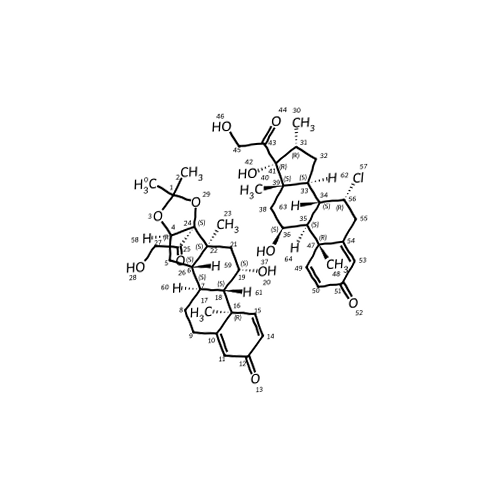 CC1(C)O[C@@H]2C[C@H]3[C@@H]4CCC5=CC(=O)C=C[C@]5(C)[C@H]4[C@@H](O)C[C@]3(C)[C@]2(C(=O)CO)O1.C[C@@H]1C[C@H]2[C@H]3[C@H]([C@@H](O)C[C@]2(C)[C@@]1(O)C(=O)CO)[C@@]1(C)C=CC(=O)C=C1C[C@H]3Cl